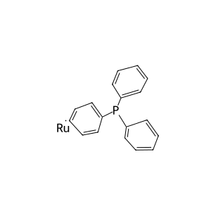 [Ru].[c]1ccc(P(c2ccccc2)c2ccccc2)cc1